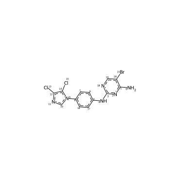 Nc1nc(Nc2ccc(-n3cnc(Cl)c3Cl)cc2)ncc1Br